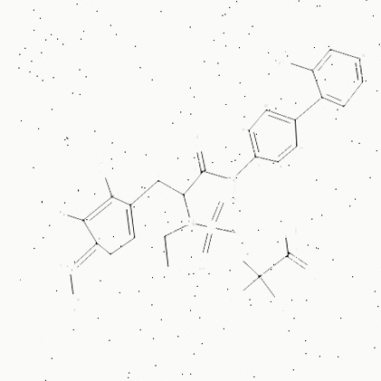 CCOC(=O)CN(C(CC1=CCC(=NO)C(N)=C1C)C(=O)Nc1ccc(-c2ccccc2C#N)cc1)S(C)(=O)=O.O=C(O)C(F)(F)F